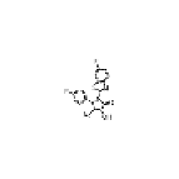 CC(=O)C1=C(O)C(=O)N(c2nc3ccc(F)cc3s2)C1c1ccc(F)cc1